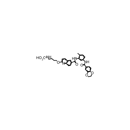 Cc1ccc(NC(=O)c2ccc3c(c2)OCCO3)cc1NC(=O)c1ccc2nc(OCCCCNC(=O)O)ccc2c1